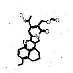 CCc1ccc2nc3c(c4c2c1CCC4)Cn1c-3cc(C(C)N=O)c(COC=O)c1=O